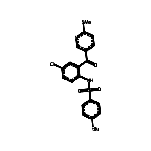 CSc1ccc(C(=O)c2cc(Cl)ccc2NS(=O)(=O)c2ccc(C(C)(C)C)cc2)cn1